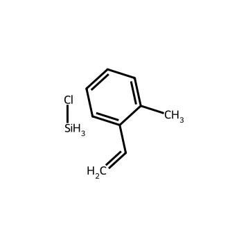 C=Cc1ccccc1C.[SiH3]Cl